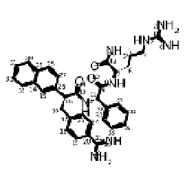 N=C(N)NCCC[C@H](NC(=O)[C@@H](NC(=O)[C@@H](Cc1ccc(C(=N)N)cc1)c1ccc2ccccc2c1)c1ccccc1)C(N)=O